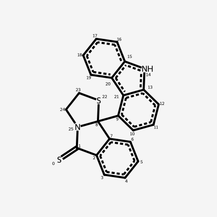 S=C1c2ccccc2C2(c3cccc4[nH]c5ccccc5c34)SCCN12